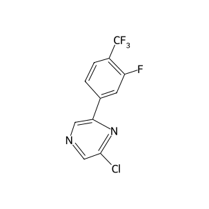 Fc1cc(-c2cncc(Cl)n2)ccc1C(F)(F)F